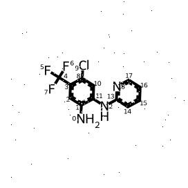 Nc1cc(C(F)(F)F)c(Cl)cc1Nc1ccccn1